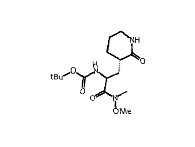 CON(C)C(=O)C(C[C@@H]1CCCNC1=O)NC(=O)OC(C)(C)C